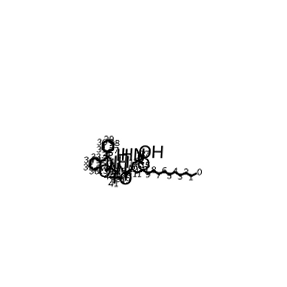 CCCCCCCCCCCC[C@H](CC(=O)NO)C(=O)N[C@H](C(=O)NC(c1ccccc1)c1ccccc1)C(C)(C)C